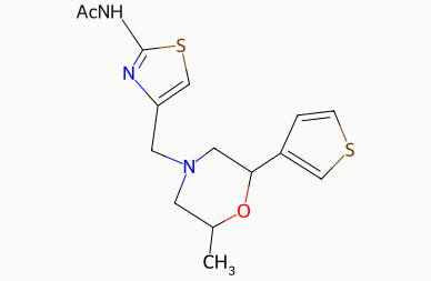 CC(=O)Nc1nc(CN2CC(C)OC(c3ccsc3)C2)cs1